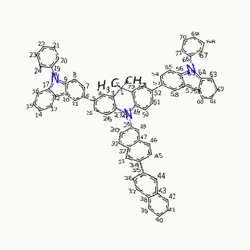 CC1(C)c2cc(-c3ccc4c(c3)c3ccccc3n4-c3ccccc3)ccc2N(c2ccc3cc(-c4ccc5ccccc5c4)ccc3c2)c2ccc(-c3ccc4c(c3)c3ccccc3n4-c3ccccc3)cc21